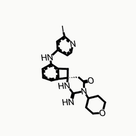 N=C1N[C@]2(CC(=O)N1C1CCOCC1)Cc1c(Nc3ccnc(I)c3)cccc12